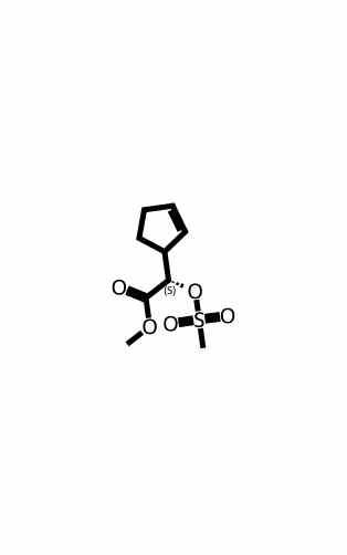 COC(=O)[C@@H](OS(C)(=O)=O)C1C=CCC1